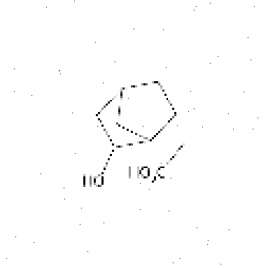 CC(=O)O.OC1CC2CCC1C2